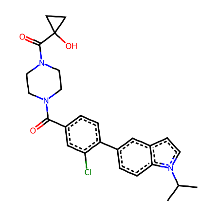 CC(C)n1ccc2cc(-c3ccc(C(=O)N4CCN(C(=O)C5(O)CC5)CC4)cc3Cl)ccc21